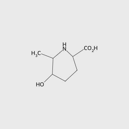 CC1NC(C(=O)O)CCC1O